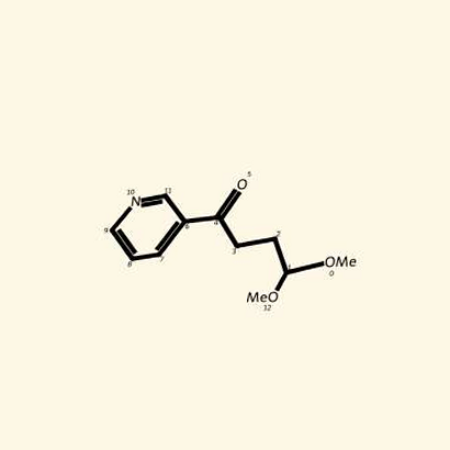 COC(CCC(=O)c1cccnc1)OC